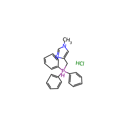 Cl.Cn1cnc(C[PH](c2ccccc2)(c2ccccc2)c2ccccc2)c1